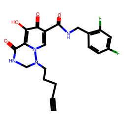 C#CCCCN1CNC(=O)c2c(O)c(=O)c(C(=O)NCc3ccc(F)cc3F)cn21